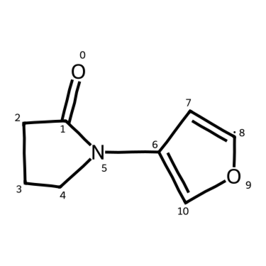 O=C1CCCN1c1c[c]oc1